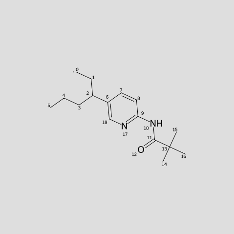 [CH2]CC(CCC)c1ccc(NC(=O)C(C)(C)C)nc1